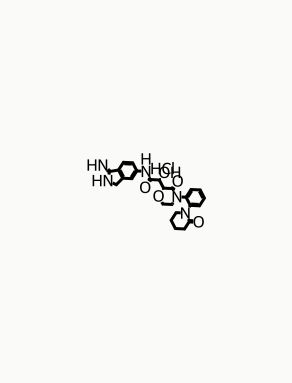 Cl.N=C1NCc2cc(NC(=O)[C@H](O)[C@H]3OCCN(c4ccccc4N4CCCCC4=O)C3=O)ccc21